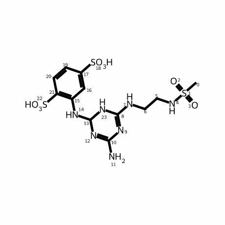 CS(=O)(=O)NCCNC1=NC(N)=NC(Nc2cc(S(=O)(=O)O)ccc2S(=O)(=O)O)N1